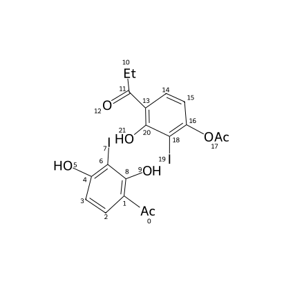 CC(=O)c1ccc(O)c(I)c1O.CCC(=O)c1ccc(OC(C)=O)c(I)c1O